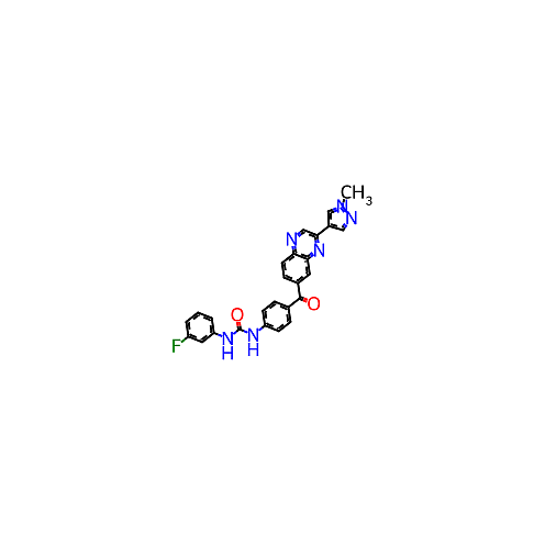 Cn1cc(-c2cnc3ccc(C(=O)c4ccc(NC(=O)Nc5cccc(F)c5)cc4)cc3n2)cn1